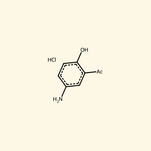 CC(=O)c1cc(N)ccc1O.Cl